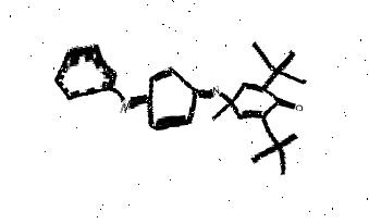 CC1(N=C2C=CC(=Nc3ccccc3)C=C2)C=C(C(C)(C)C)C(=O)C(C(C)(C)C)=C1